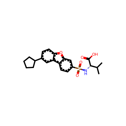 CC(C)[C@H](NS(=O)(=O)c1ccc2c(c1)oc1ccc(C3CCCC3)cc12)C(=O)O